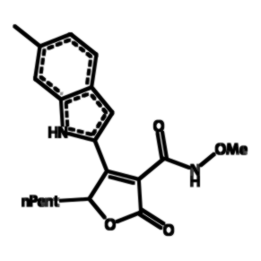 CCCCCC1OC(=O)C(C(=O)NOC)=C1c1cc2ccc(C)cc2[nH]1